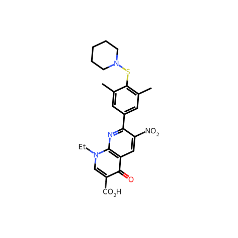 CCn1cc(C(=O)O)c(=O)c2cc([N+](=O)[O-])c(-c3cc(C)c(SN4CCCCC4)c(C)c3)nc21